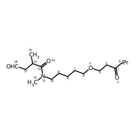 CC(C)C(=O)CCOCCCCCN(C)C(=O)C(C)CC=O